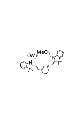 COCCN1C(=CC=C2C=C(C=CC3N(CCOC)c4ccccc4C3(C)C)CCC2)C(C)(C)c2ccccc21